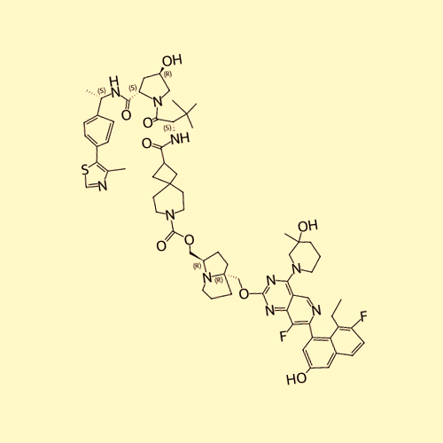 CCc1c(F)ccc2cc(O)cc(-c3ncc4c(N5CCCC(C)(O)C5)nc(OC[C@]56CCCN5[C@@H](COC(=O)N5CCC7(CC5)CC(C(=O)N[C@H](C(=O)N5C[C@H](O)C[C@H]5C(=O)N[C@@H](C)c5ccc(-c8scnc8C)cc5)C(C)(C)C)C7)CC6)nc4c3F)c12